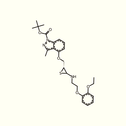 CCOc1ccccc1OCCNC1S[C@@H]1COc1cccc2c1c(C)nn2C(=O)OC(C)(C)C